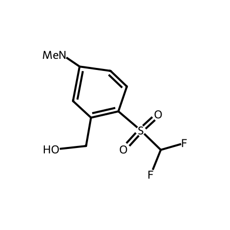 CNc1ccc(S(=O)(=O)C(F)F)c(CO)c1